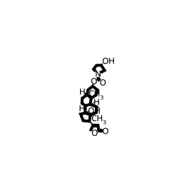 C[C@]12CC[C@H](OC(=O)N3CC[C@H](O)C3)C[C@H]1CC[C@@H]1[C@@H]2CC[C@]2(C)[C@@H](C3=CC(=O)OC3)CC[C@]12O